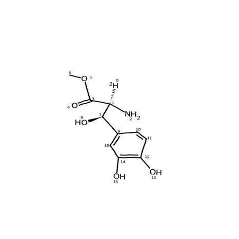 [2H][C@@](N)(C(=O)OC)[C@H](O)c1ccc(O)c(O)c1